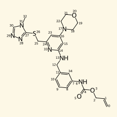 C=CCOC(=O)Nc1cccc(CNc2cc(N3CCOCC3)cc(CSc3nncn3C)n2)c1